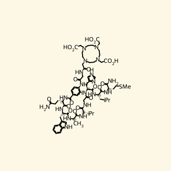 CSCC[C@H](NC(=O)[C@H](CC(C)C)NC(=O)[C@H](Cc1c[nH]cn1)NC(=O)CNC(=O)[C@@H](NC(=O)[C@H](C)NC(=O)[C@H](Cc1c[nH]c2ccccc12)NC(=O)[C@H](CCC(N)=O)NC(=O)c1ccc(NC(=O)CNC(=O)CN2CCN(CC(=O)O)CCN(CC(=O)O)CCN(CC(=O)O)CC2)cc1)C(C)C)C(N)=O